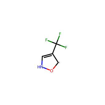 FC(F)(F)C1=CNO[C]1